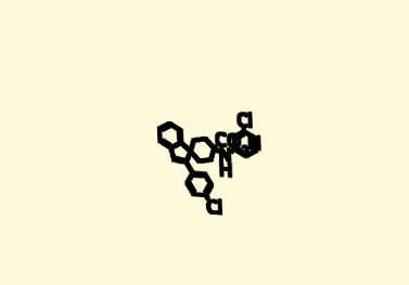 O=C(O)C1(Nc2cccc(Cl)c2)CCC2(CC1)C(c1ccc(Cl)cc1)=Cc1ccccc12